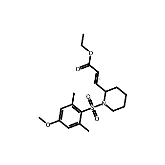 CCOC(=O)/C=C/C1CCCCN1S(=O)(=O)c1c(C)cc(OC)cc1C